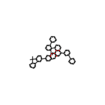 CC1(C)c2ccccc2-c2cc(-c3cccc(N(c4ccc(-c5cccc(-c6ccccc6)c5)cc4)c4cccc(-c5ccccc5)c4-c4ccccc4-c4ccccc4)c3)ccc21